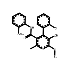 CCSc1nc(C)c(C(=O)Nc2ccccc2OC)c(-c2ccccc2Cl)c1C#N